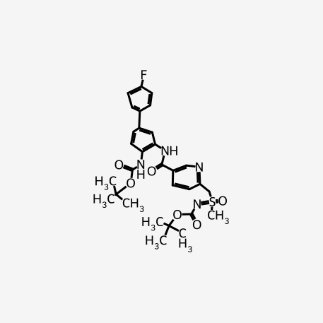 CC(C)(C)OC(=O)N=S(C)(=O)Cc1ccc(C(=O)Nc2cc(-c3ccc(F)cc3)ccc2NC(=O)OC(C)(C)C)cn1